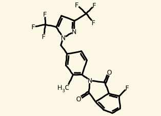 Cc1cc(Cn2nc(C(F)(F)F)cc2C(F)(F)F)ccc1N1C(=O)c2cccc(F)c2C1=O